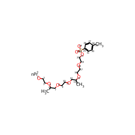 CCCOCCOC(C)COCCOCC(C)OCCOCCOS(=O)(=O)c1ccc(C)cc1